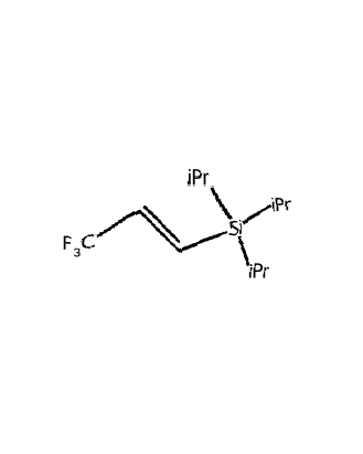 CC(C)[Si](C=CC(F)(F)F)(C(C)C)C(C)C